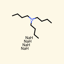 CCCCN(CCCC)CCCC.[NaH].[NaH].[NaH].[NaH]